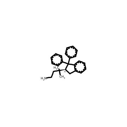 CC(C)(CCN)[C@@H]1Cc2ccccc2C1(c1ccccc1)c1ccccc1